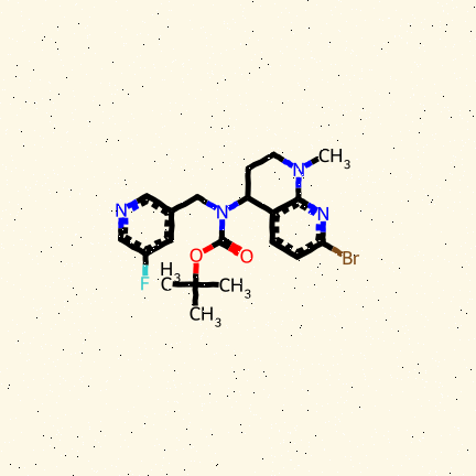 CN1CCC(N(Cc2cncc(F)c2)C(=O)OC(C)(C)C)c2ccc(Br)nc21